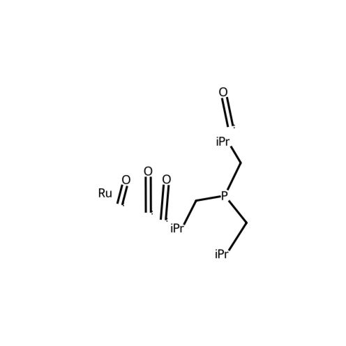 CC(C)CP(CC(C)C)CC(C)C.[C]=O.[C]=O.[C]=O.[C]=O.[Ru]